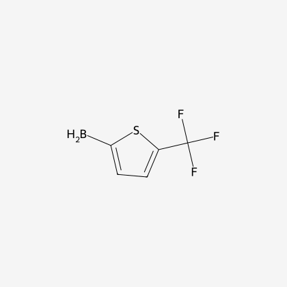 Bc1ccc(C(F)(F)F)s1